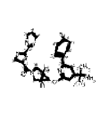 CC(C)(N)c1cc(O[C@@H]2[C@@H]3CN(C(=O)c4cnc(-c5ncccn5)s4)C[C@@H]32)nc(-c2ccc(F)cc2)c1